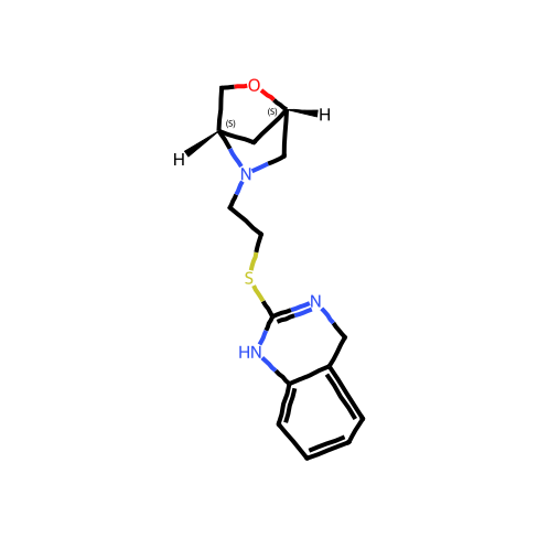 c1ccc2c(c1)CN=C(SCCN1C[C@@H]3C[C@H]1CO3)N2